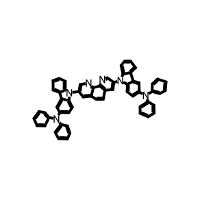 c1ccc(N(c2ccccc2)c2ccc3c(c2)c2ccccc2n3-c2cnc3c(ccc4cc(-n5c6ccccc6c6cc(N(c7ccccc7)c7ccccc7)ccc65)cnc43)c2)cc1